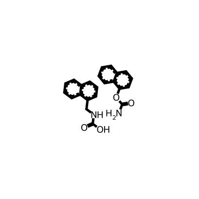 NC(=O)Oc1cccc2ccccc12.O=C(O)NCc1cccc2ccccc12